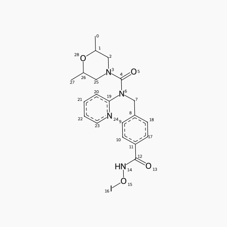 CC1CN(C(=O)N(Cc2ccc(C(=O)NOI)cc2)c2ccccn2)CC(C)O1